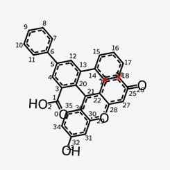 O=C(O)c1cc(-c2ccccc2)cc(-c2ccccc2)c1-c1c2ccc(=O)cc-2oc2cc(O)ccc12